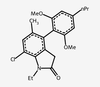 CCCc1cc(OC)c(-c2c(C)cc(Cl)c3c2CC(=O)N3CC)c(OC)c1